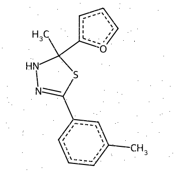 Cc1cccc(C2=NNC(C)(c3ccco3)S2)c1